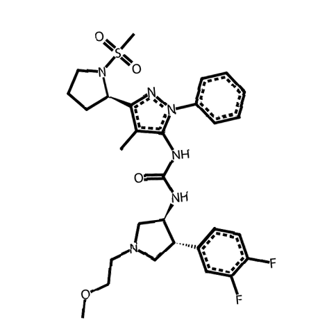 COCCN1C[C@@H](NC(=O)Nc2c(C)c([C@H]3CCCN3S(C)(=O)=O)nn2-c2ccccc2)[C@H](c2ccc(F)c(F)c2)C1